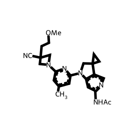 COCCC1(C#N)CN(c2cc(C)cc(N3CC4(CC4)c4cnc(NC(C)=O)cc43)n2)C1